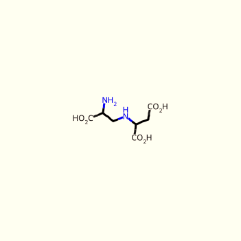 NC(CNC(CC(=O)O)C(=O)O)C(=O)O